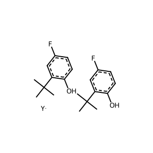 CC(C)(C)c1cc(F)ccc1O.CC(C)(C)c1cc(F)ccc1O.[Y]